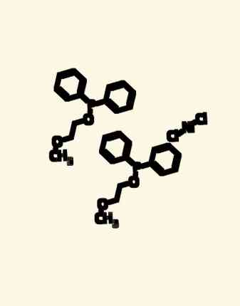 COCCOP(c1ccccc1)c1ccccc1.COCCOP(c1ccccc1)c1ccccc1.[Cl][Ni][Cl]